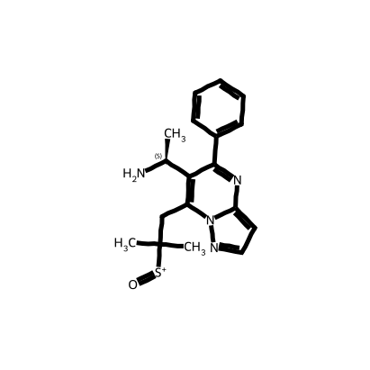 C[C@H](N)c1c(-c2ccccc2)nc2ccnn2c1CC(C)(C)[S+]=O